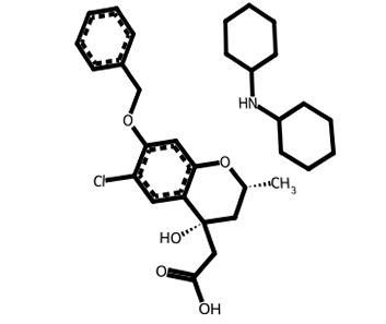 C1CCC(NC2CCCCC2)CC1.C[C@@H]1C[C@@](O)(CC(=O)O)c2cc(Cl)c(OCc3ccccc3)cc2O1